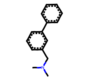 CN(C)Cc1cccc(-c2ccccc2)c1